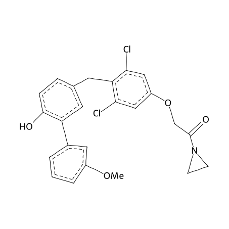 COc1cccc(-c2cc(Cc3c(Cl)cc(OCC(=O)N4CC4)cc3Cl)ccc2O)c1